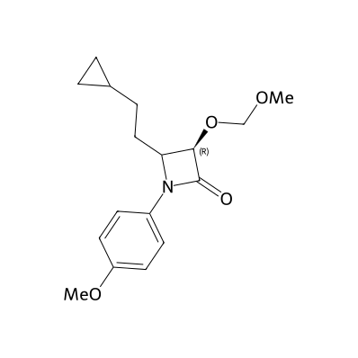 COCO[C@H]1C(=O)N(c2ccc(OC)cc2)C1CCC1CC1